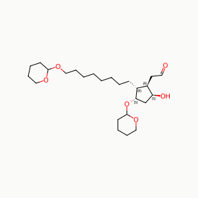 O=CC[C@@H]1[C@@H](CCCCCCCCOC2CCCCO2)[C@@H](OC2CCCCO2)C[C@@H]1O